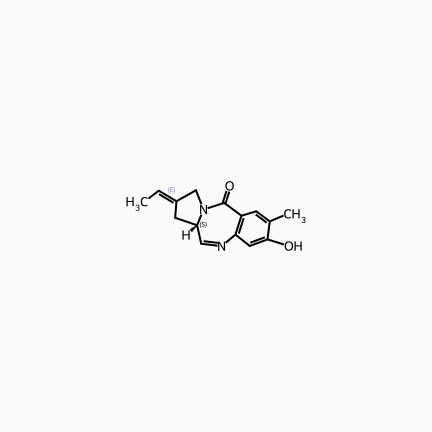 C/C=C1\C[C@H]2C=Nc3cc(O)c(C)cc3C(=O)N2C1